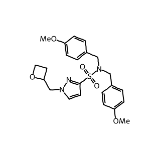 COc1ccc(CN(Cc2ccc(OC)cc2)S(=O)(=O)c2ccn(CC3CCO3)n2)cc1